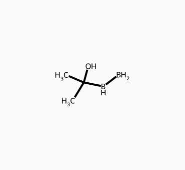 BBC(C)(C)O